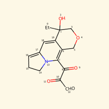 CCC1(O)COCC2=C(C(=O)C(=O)C=O)N3CCC=C3C=C21